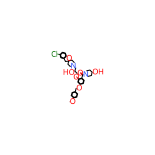 COc1ccc(COc2ccc(C(=O)N3CCC(O)CC3)c(OC[C@@H](O)CN3CCC4(CC3)Cc3cc(Cl)ccc3O4)c2)cc1